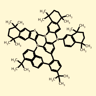 CC(C)(C)c1ccc(N2c3cc(-c4ccc(C(C)(C)C)cc4-c4ccccc4)cc4c3B(c3cc5c(cc3N4c3ccc4c(c3)C(C)(C)CCC4(C)C)C(C)(C)CCC5(C)C)c3sc4cc5c(cc4c32)C(C)(C)CCC5(C)C)cc1